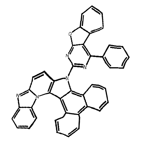 c1ccc(-c2nc(-n3c4ccc5nc6ccccc6n5c4c4c5ccccc5c5ccccc5c43)nc3oc4ccccc4c23)cc1